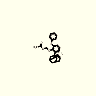 CC(=O)OCOc1c(Sc2ccccc2)cccc1C12CC3CC(CC(C3)C1C)C2